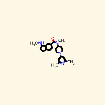 CNC1CCc2ccc(C(=O)N(C)C3CCN(c4cc(C)nc(C)c4)CC3)cc21